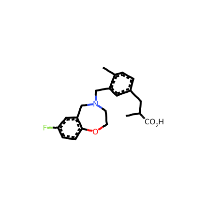 Cc1ccc(CC(C)C(=O)O)cc1CN1CCOc2ccc(F)cc2C1